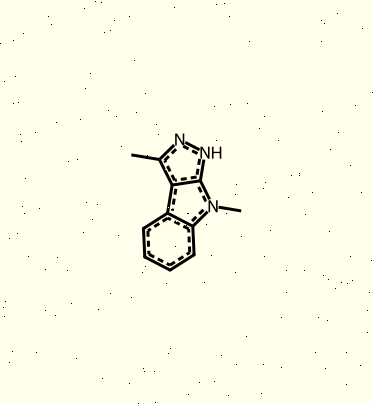 Cc1n[nH]c2c1c1ccccc1n2C